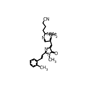 CNC(CCCC#N)\N=C/C(=C\N)/C=C1N=C(/C=C/c2ccccc2C)N(C)C\1=O